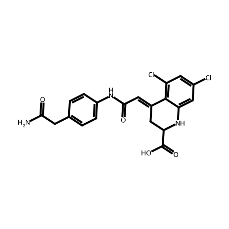 NC(=O)Cc1ccc(NC(=O)C=C2CC(C(=O)O)Nc3cc(Cl)cc(Cl)c32)cc1